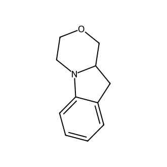 c1ccc2c(c1)CC1COCCN21